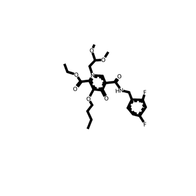 CCCCOc1c(C(=O)OCC)n(CC(OC)OC)cc(C(=O)NCc2ccc(F)cc2F)c1=O